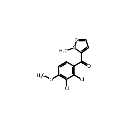 COc1ccc(C(=O)c2ccnn2C)c(Cl)c1Cl